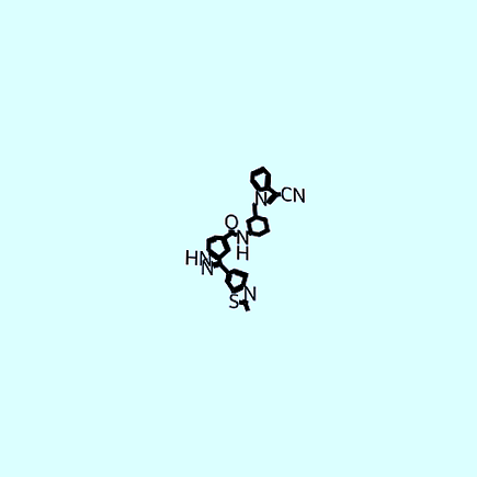 Cc1nc2ccc(-c3n[nH]c4ccc(C(=O)NC5CCCC(Cn6cc(C#N)c7ccccc76)C5)cc34)cc2s1